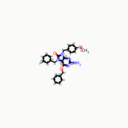 COc1ccc(Cn2c(=O)n(Cc3cccc(F)c3)c3c(OCc4ccccc4)nc(N)nc32)cc1